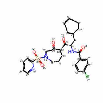 O=C(NC(CC1CCCCC1)C(=O)[C@H]1CCCN(S(=O)(=O)c2ccccn2)CC1=O)c1ccc(Br)cc1